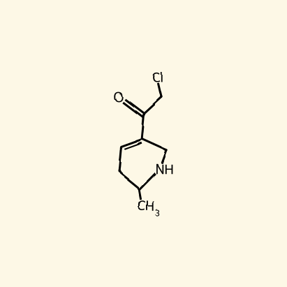 CC1CC=C(C(=O)CCl)CN1